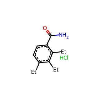 CCc1ccc(C(N)=O)c(CC)c1CC.Cl